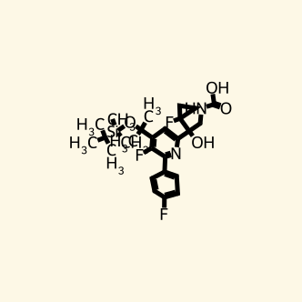 CC(C)(O[Si](C)(C)C(C)(C)C)c1cc(C(O)(CNC(=O)O)C2(F)CC2)nc(-c2ccc(F)cc2)c1F